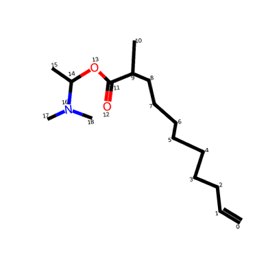 C=CCCCCCCCC(C)C(=O)OC(C)N(C)C